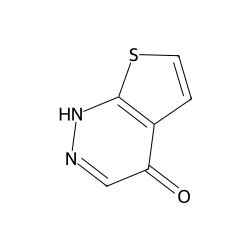 O=c1cn[nH]c2sccc12